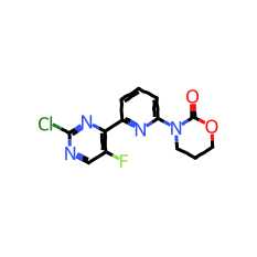 O=C1OCCCN1c1cccc(-c2nc(Cl)ncc2F)n1